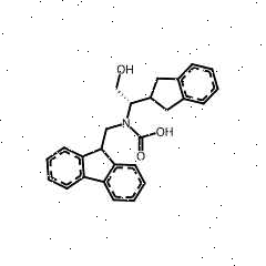 O=C(O)N(CC1c2ccccc2-c2ccccc21)[C@H](CO)C1Cc2ccccc2C1